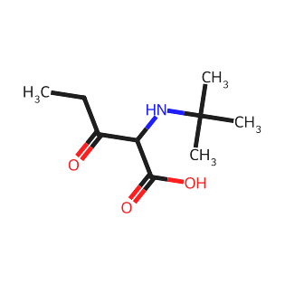 CCC(=O)C(NC(C)(C)C)C(=O)O